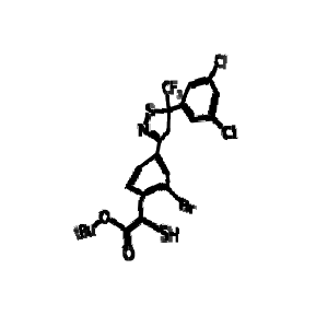 CC(C)(C)OC(=O)C(S)c1ccc(C2=NSC(c3cc(Cl)cc(Cl)c3)(C(F)(F)F)C2)cc1Br